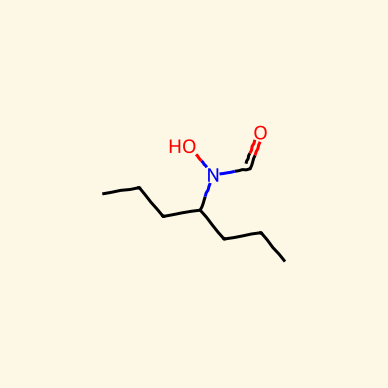 CCCC(CCC)N(O)C=O